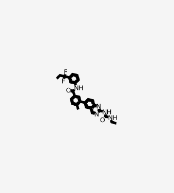 CCNC(=O)Nc1ncc2cc(-c3cc(C(=O)Nc4cccc(C(F)(F)CC)c4)ccc3C)ccc2n1